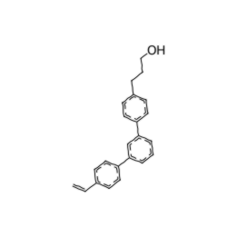 C=Cc1ccc(-c2cccc(-c3ccc(CCCO)cc3)c2)cc1